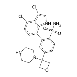 NS(=O)(=O)c1ccc(C2(N3CCNCC3)COC2)cc1-c1ccc(Cl)c2c(Cl)c[nH]c12